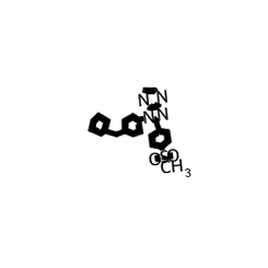 CS(=O)(=O)c1ccc(-c2nc3nccnc3n2-c2ccc(Cc3ccccc3)cc2)cc1